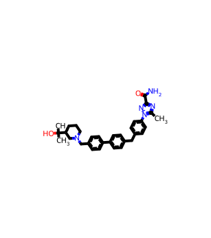 Cc1nc(C(N)=O)nn1-c1ccc(Cc2ccc(-c3ccc(CN4CCCC(C(C)(C)O)C4)cc3)cc2)cc1